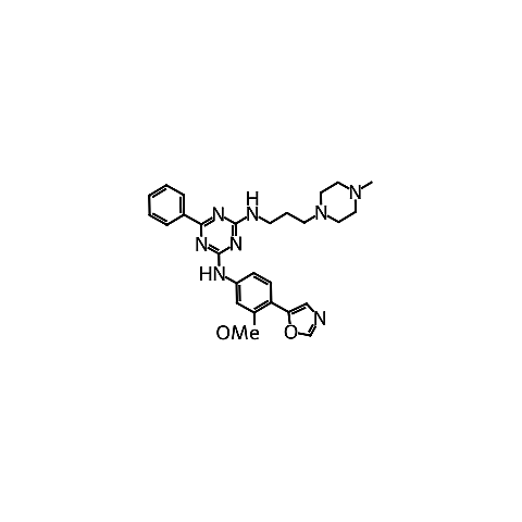 COc1cc(Nc2nc(NCCCN3CCN(C)CC3)nc(-c3ccccc3)n2)ccc1-c1cnco1